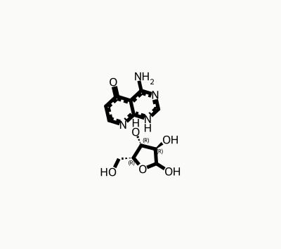 Nc1nc[nH]c2nccc(=O)c1-2.OC[C@H]1OC(O)[C@H](O)[C@H]1O